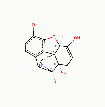 OC1=CC[C@@]2(O)[C@H]3Cc4ccc(O)c5c4[C@@]2(CCN3)[C@H]1O5